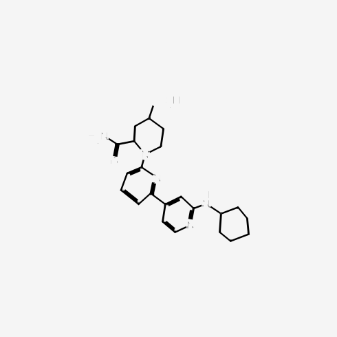 NC(=O)C1CC(C(=O)O)CCN1c1cccc(-c2ccnc(NC3CCCCC3)c2)n1